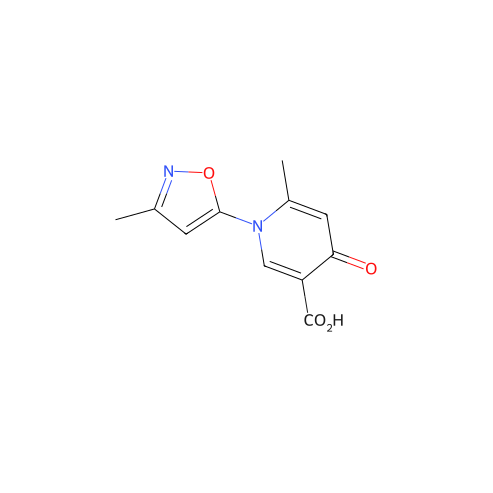 Cc1cc(-n2cc(C(=O)O)c(=O)cc2C)on1